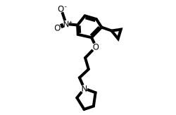 O=[N+]([O-])c1ccc(C2CC2)c(OCCCN2CCCC2)c1